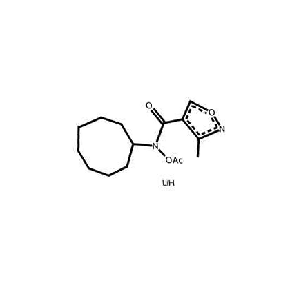 CC(=O)ON(C(=O)c1conc1C)C1CCCCCCC1.[LiH]